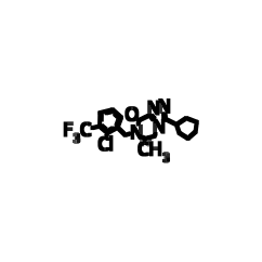 C[C@H]1Cn2c(nnc2C2CCCCC2)C(=O)N1Cc1cccc(C(F)(F)F)c1Cl